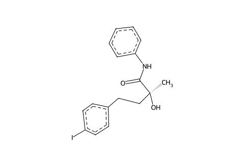 C[C@](O)(CCc1ccc(I)cc1)C(=O)Nc1ccccc1